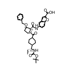 CC(C)(C)OC(=O)N[C@H](CF)C1CCC(C(=O)N2CC[C@H](OCc3ccccc3)[C@H]2C(=O)Nc2ccc3oc(C(=O)O)cc3c2)CC1